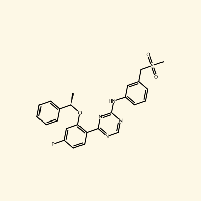 C[C@@H](Oc1cc(F)ccc1-c1ncnc(Nc2cccc(CS(C)(=O)=O)c2)n1)c1ccccc1